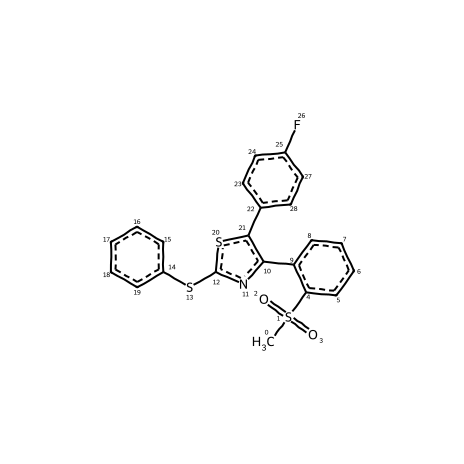 CS(=O)(=O)c1ccccc1-c1nc(Sc2ccccc2)sc1-c1ccc(F)cc1